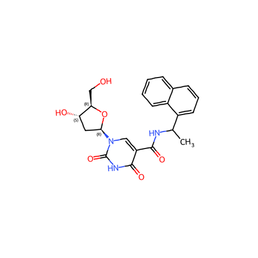 CC(NC(=O)c1cn([C@H]2C[C@H](O)[C@@H](CO)O2)c(=O)[nH]c1=O)c1cccc2ccccc12